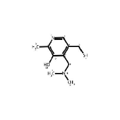 Cc1ncc(CS)c(CN(C)C)c1O